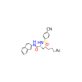 CC(=O)CCCCC[C@H](N[S+]([O-])c1ccc(C#N)cc1)C(=O)Nc1ccc2ccccc2c1